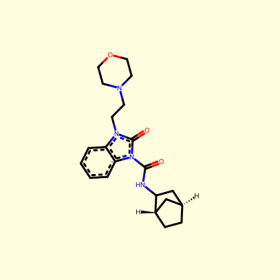 O=C(NC1C[C@H]2CC[C@H]1C2)n1c(=O)n(CCN2CCOCC2)c2ccccc21